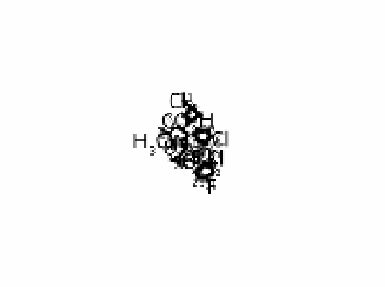 C[C@@]1(CC(=O)O)C[C@H](c2cccc(Cl)c2)[C@@H](c2ccc(Cl)cc2)N([C@H](CS(=O)(=O)c2ccc(F)cc2Cl)C2CC2)C1=O